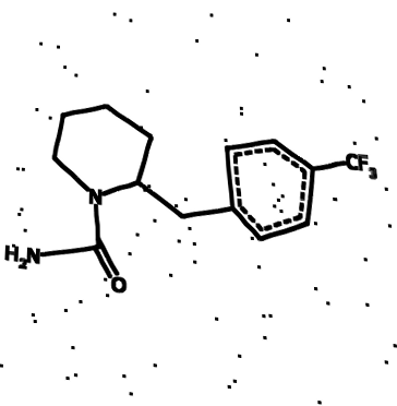 NC(=O)N1CCCCC1Cc1ccc(C(F)(F)F)cc1